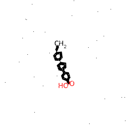 C=CC[C@H]1CC[C@H](c2ccc(C3CCC(C(=O)O)CC3)cc2)CC1